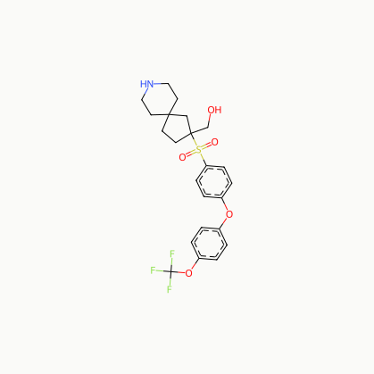 O=S(=O)(c1ccc(Oc2ccc(OC(F)(F)F)cc2)cc1)C1(CO)CCC2(CCNCC2)C1